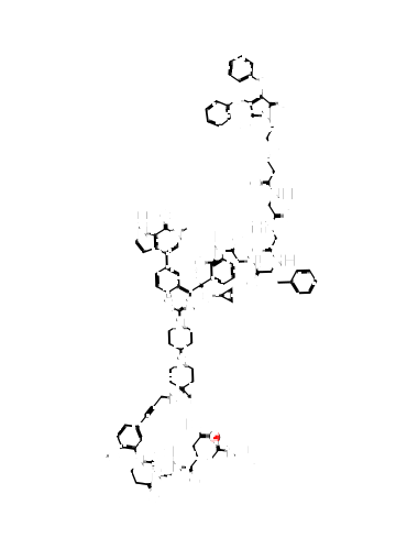 COc1ccc(C#CCNC2(C)CCN(C3CCN(c4nc([C@@](COCNC(=O)CNC(=O)[C@H](Cc5ccccc5)NC(=O)CNC(=O)CNC(=O)CCOCCN5C(=O)C(Sc6ccccc6)=C(Sc6ccccc6)C5=O)(OC5CC5)c5ccccc5)c5cc(-c6cn(C)c(=O)c7[nH]ccc67)ccc5n4)CC3)CC2)cc1N1CCC(=O)N(CNC(=O)[C@@H](CC(N)=O)CC(=O)O)C1=O